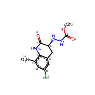 CC(C)(C)OC(=O)NNC1Cc2cc(Br)cc([N+](=O)[O-])c2NC1=O